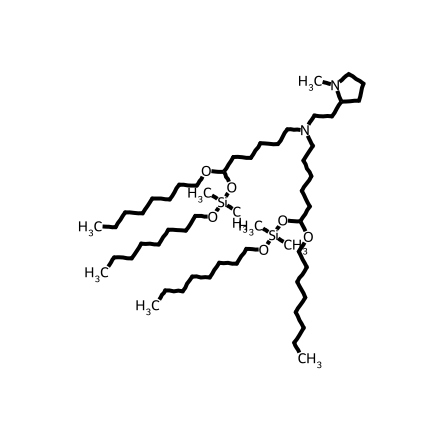 CCCCCCCCOC(CCCCCN(CCCCCC(OCCCCCCCC)O[Si](C)(C)OCCCCCCCC)CCC1CCCN1C)O[Si](C)(C)OCCCCCCCC